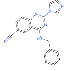 N#Cc1ccc2nc(-n3ccnc3)nc(NCc3ccccc3)c2c1